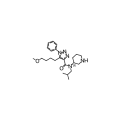 COCCCCc1c(C(=O)N(CC(C)C)[C@H]2CCCNC2)nnn1-c1ccccc1